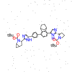 CC(C)(C)OC(=O)N1C(c2ncc(-c3ccc(-c4ccc(-c5cnc([C@@H]6CCCN6C(=O)OC(C)(C)C)[nH]5)c5c4C4CCC5C4)cc3)[nH]2)CC2CC21